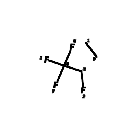 CC.FCC(F)(F)F